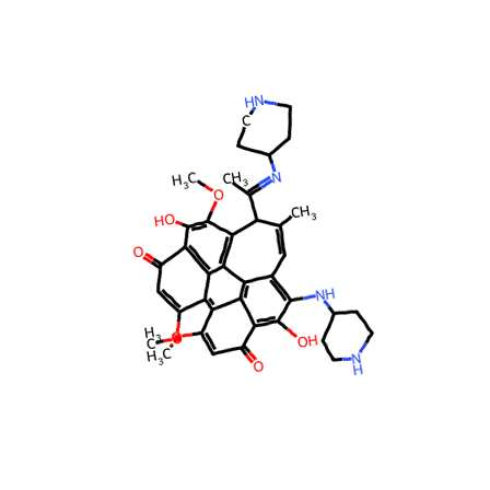 COc1c(O)c2c(=O)cc(OC)c3c4c(OC)cc(=O)c5c(O)c(NC6CCNCC6)c6c(c(c1C(/C(C)=N/C1CCNCC1)C(C)=C6)c23)c54